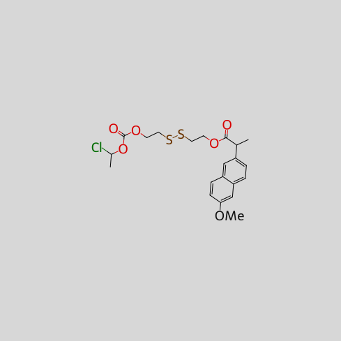 COc1ccc2cc(C(C)C(=O)OCCSSCCOC(=O)OC(C)Cl)ccc2c1